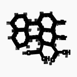 O=C(O)c1c(Br)c2c(Br)ccc3c4cccc5cccc(c(c1C(=O)O)c23)c54